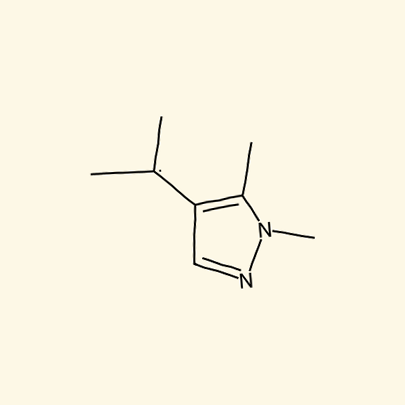 C[C](C)c1cnn(C)c1C